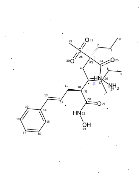 CCC[C@@](C/C(=C(/C)CC)[C@H](CC=Cc1ccccc1)C(=O)NO)(C(=O)NN)S(C)(=O)=O